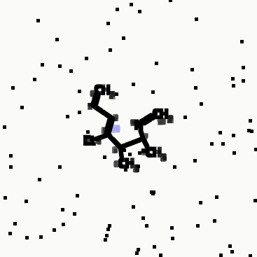 C=C/C=C(\CC)C(C)C(C)N=C